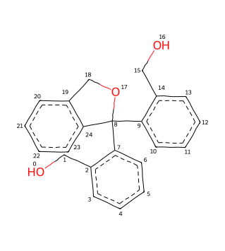 OCc1ccccc1C1(c2ccccc2CO)OCc2ccccc21